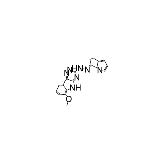 COc1cccc2c1[nH]c1nc(N/N=C3\CCc4cccnc43)nnc12